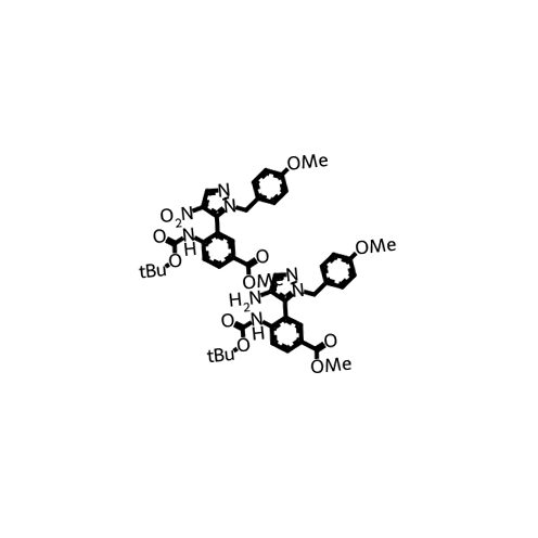 COC(=O)c1ccc(NC(=O)OC(C)(C)C)c(-c2c(N)cnn2Cc2ccc(OC)cc2)c1.COC(=O)c1ccc(NC(=O)OC(C)(C)C)c(-c2c([N+](=O)[O-])cnn2Cc2ccc(OC)cc2)c1